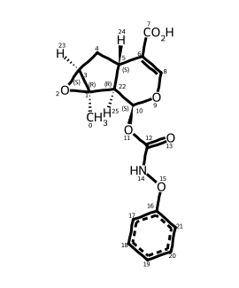 C[C@]12O[C@H]1C[C@@H]1C(C(=O)O)=CO[C@@H](OC(=O)NOc3ccccc3)[C@H]12